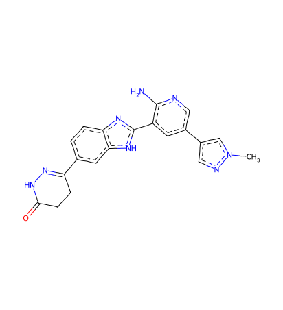 Cn1cc(-c2cnc(N)c(-c3nc4ccc(C5=NNC(=O)CC5)cc4[nH]3)c2)cn1